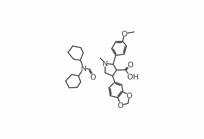 COc1ccc(C2C(C(=O)O)C(c3ccc4c(c3)OCO4)CN2C)cc1.O=CN(C1CCCCC1)C1CCCCC1